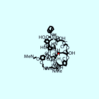 CNCCOc1ccc(S(=O)(=O)NC(=O)C[C@@H]2NC(=O)[C@H](NC(=O)[C@@H](CC(C)C)NC)[C@H](O)c3ccc(c(C)c3)Oc3cc4cc(c3O)Oc3ccc(cc3Cl)[C@@H](O)[C@@H]3NC(=O)[C@H](NC(=O)[C@@H]4NC2=O)c2ccc(O)c(c2)-c2c(O)cc(O)cc2[C@@H](C(=O)NC2C4CC5CC(C4)CC2C5)NC3=O)cc1OCCNC